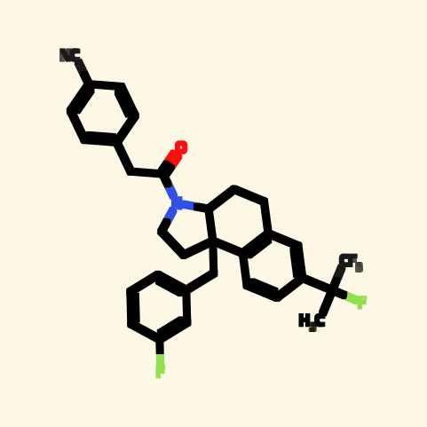 CC(F)(c1ccc2c(c1)CCC1N(C(=O)Cc3ccc(C#N)cc3)CCC21Cc1cccc(F)c1)C(F)(F)F